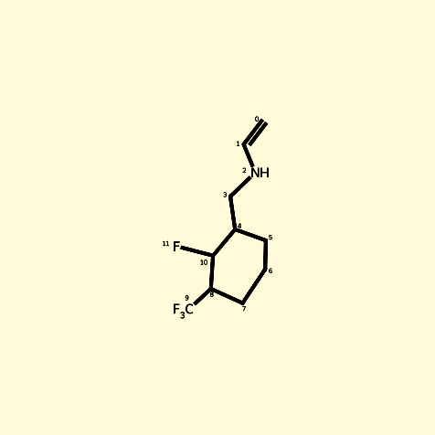 C=CNCC1CCCC(C(F)(F)F)C1F